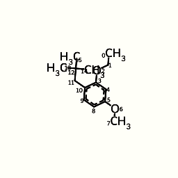 CCOc1cc(OC)ccc1CC(C)(C)C